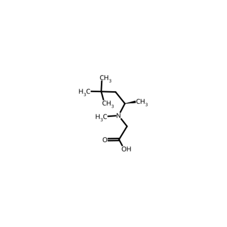 C[C@H](CC(C)(C)C)N(C)CC(=O)O